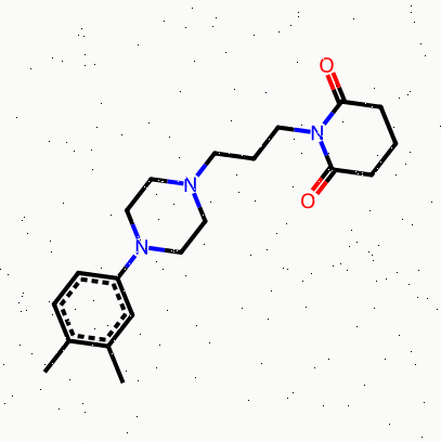 Cc1ccc(N2CCN(CCCN3C(=O)CCCC3=O)CC2)cc1C